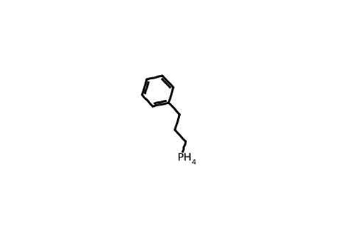 [PH4]CCCc1ccccc1